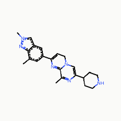 CC1=NC(C2CCNCC2)=CN2CC=C(c3cc(C)c4nn(C)cc4c3)N=C12